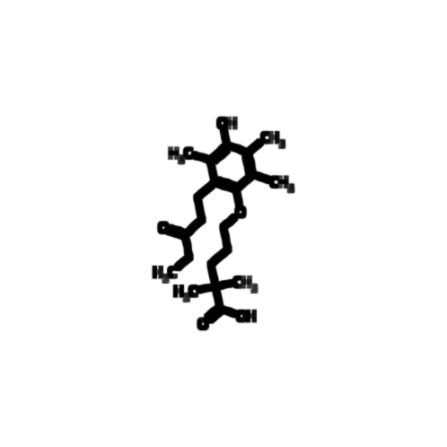 CCC(=O)CCc1c(C)c(O)c(C)c(C)c1OCCCC(C)(C)C(=O)O